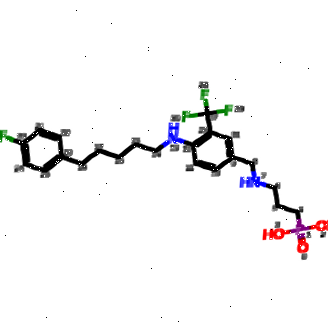 O=P(O)(O)CCCNCc1ccc(NCCCCCc2ccc(F)cc2)c(C(F)(F)F)c1